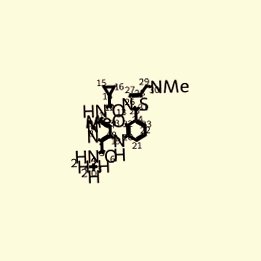 [2H]C([2H])([2H])NC(=O)c1nnc(NC(=O)C2CC2)cc1Nc1cccc(-c2ncc(CNC)s2)c1OC